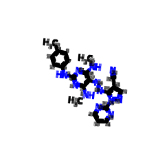 CNc1nc(Nc2ccc(C)cc2)nc(NC)c1/N=N/c1c(C#N)cnn1-c1ncccn1